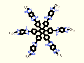 Cc1nc2cc3[nH]c(-c4ccc(-c5c(-c6ccc(-c7nc8cc9[nH]c(C)nc9cc8[nH]7)cc6)c(-c6ccc(-c7nc8cc9[nH]c(C)nc9cc8[nH]7)cc6)c(-c6ccc(-c7nc8cc9[nH]c(C)nc9cc8[nH]7)cc6)c(-c6ccc(-c7nc8cc9[nH]c(C)nc9cc8[nH]7)cc6)c5-c5ccc(-c6nc7cc8[nH]c(C)nc8cc7[nH]6)cc5)cc4)nc3cc2[nH]1